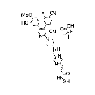 COc1ccc(-c2cnc(N3CCC(NCc4cnc(/C=C/C(=O)NO)cn4)CC3)c(C#N)c2-c2ccc(C#N)c(F)c2)cc1O.O=C(O)C(F)(F)F